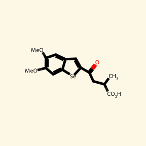 COc1cc2cc(C(=O)CC(C)C(=O)O)[se]c2cc1OC